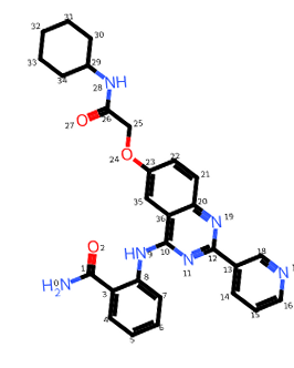 NC(=O)c1ccccc1Nc1nc(-c2cccnc2)nc2ccc(OCC(=O)NC3CCCCC3)cc12